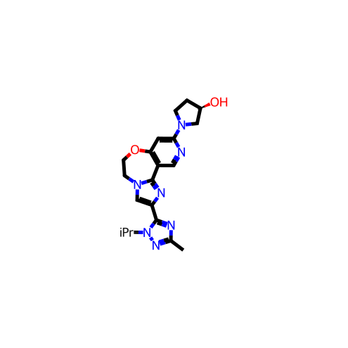 Cc1nc(-c2cn3c(n2)-c2cnc(N4CC[C@@H](O)C4)cc2OCC3)n(C(C)C)n1